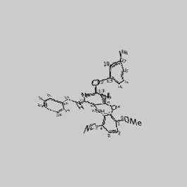 COc1ccc(C#N)cc1Oc1nc(Oc2cccc(C)c2)nc(NCc2ccccc2)c1N